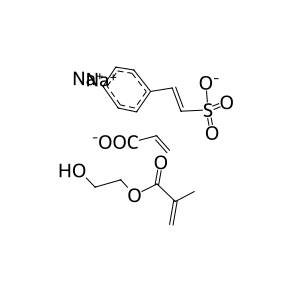 C=C(C)C(=O)OCCO.C=CC(=O)[O-].O=S(=O)([O-])C=Cc1ccccc1.[Na+].[Na+]